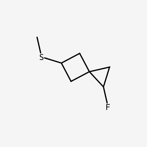 CSC1CC2(C1)CC2F